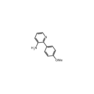 COc1ccc(-c2ncccc2N)cc1